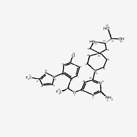 Nc1nc(O[C@H](c2ccc(Cl)cc2-n2ccc(C(F)(F)F)n2)C(F)(F)F)cc(N2CCC3(CC2)CN[C@H](C(O)O)C3)n1